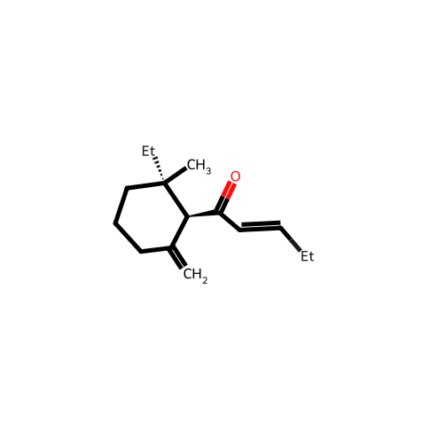 C=C1CCC[C@](C)(CC)[C@H]1C(=O)C=CCC